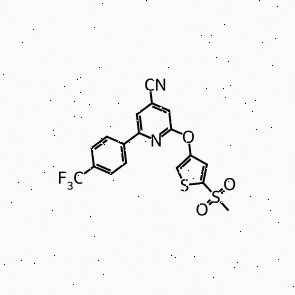 CS(=O)(=O)c1cc(Oc2cc(C#N)cc(-c3ccc(C(F)(F)F)cc3)n2)cs1